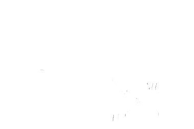 CS(=O)(=O)Nc1cc2c(cc1Sc1ccc(F)cc1)CCC2